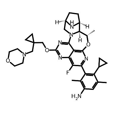 Cc1cc(N)c(C)c(-c2nc3c4c(nc(OCC5(CN6CCOCC6)CC5)nc4c2F)N2C[C@H]4CC[C@H](N4)[C@H]2[C@H](C)O3)c1C1CC1